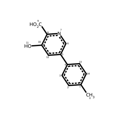 Cc1ccc(-c2cnc(C(=O)O)c(O)c2)cc1